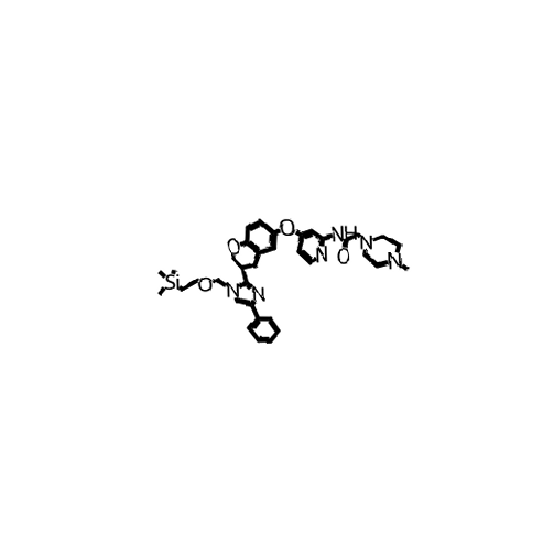 CN1CCN(CC(=O)Nc2cc(Oc3ccc4c(c3)CC(c3nc(-c5ccccc5)cn3COCC[Si](C)(C)C)CO4)ccn2)CC1